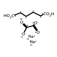 O=C(O)CCCCC(=O)O.O=C([O-])C(=O)[O-].[Na+].[Na+]